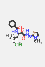 CC(C)C[C@H](NC(=O)C1CCCCC1)C(=O)C(=O)N/N=C1\SCCN1C.Cl